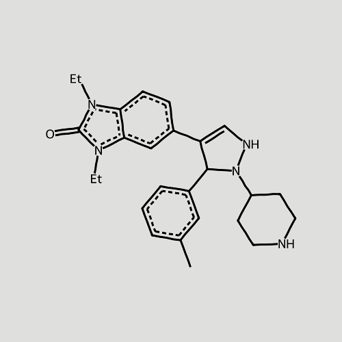 CCn1c(=O)n(CC)c2cc(C3=CNN(C4CCNCC4)C3c3cccc(C)c3)ccc21